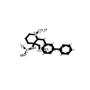 CCOC(=O)CC1(N[S@+]([O-])C(C)(C)C)CCCN(C(=O)O)C1Cc1cccc(-c2ccccc2)c1